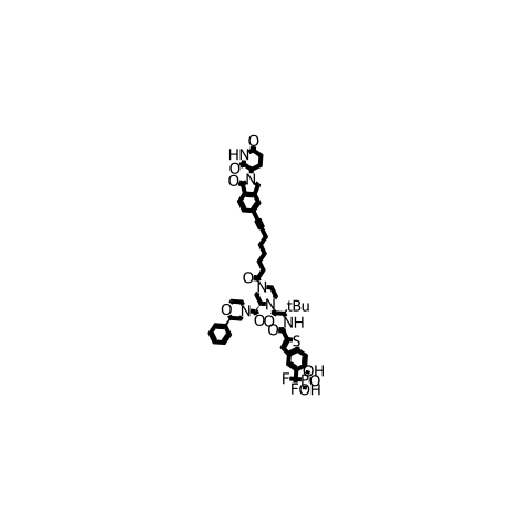 CC(C)(C)[C@H](NC(=O)c1cc2cc(C(F)(F)P(=O)(O)O)ccc2s1)C(=O)N1CCN(C(=O)CCCCCC#Cc2ccc3c(c2)CN(C2CCC(=O)NC2=O)C3=O)C[C@H]1C(=O)N1CCO[C@H](c2ccccc2)C1